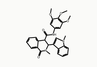 COc1cc(NC(=O)C2c3ccccc3C(=O)N(C)C2c2cn(C)c3ccccc23)cc(OC)c1OC